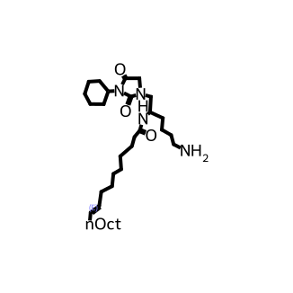 CCCCCCCC/C=C/CCCCCCCC(=O)NC(CCCCN)CN1CC(=O)N(C2CCCCC2)C1=O